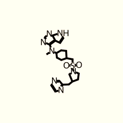 CN(c1ncnc2[nH]ccc12)C1CCC(CS(=O)(=O)N2CCC(Cc3cnccn3)C2)CC1